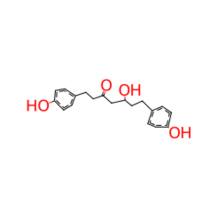 O=C(CCc1ccc(O)cc1)CC(O)CCc1ccc(O)cc1